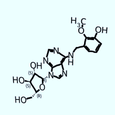 COc1c(O)cccc1CNc1ncnc2c1ncn2[C@@H]1O[C@H](CO)[C@@H](O)[C@@H]1O